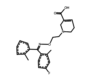 Cc1ccccc1/C(=N/OCCN1CCC=C(C(=O)O)C1)c1ccc(F)cc1C